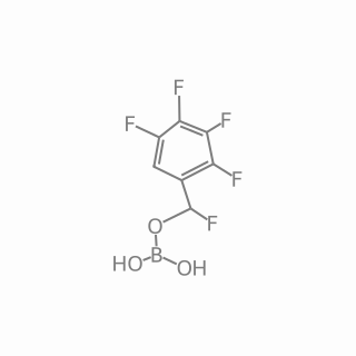 OB(O)OC(F)c1cc(F)c(F)c(F)c1F